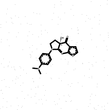 CN(C)c1ccc(N2CC[C@@]3(O)C(=O)c4ccsc4N=C23)cc1